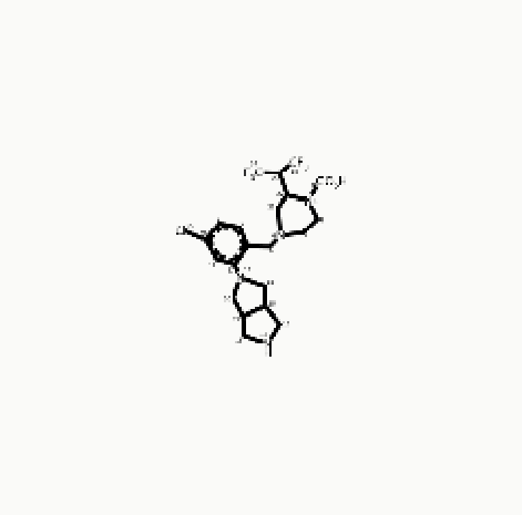 O=C(O)N1CCN(Cc2ccc(Cl)cc2N2CC3CNCC3C2)CC1C(C(F)(F)F)C(F)(F)F